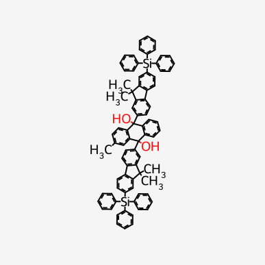 Cc1ccc2c(c1)C(O)(c1ccc3c(c1)C(C)(C)c1cc([Si](c4ccccc4)(c4ccccc4)c4ccccc4)ccc1-3)c1ccccc1C2(O)c1ccc2c(c1)C(C)(C)c1cc([Si](c3ccccc3)(c3ccccc3)c3ccccc3)ccc1-2